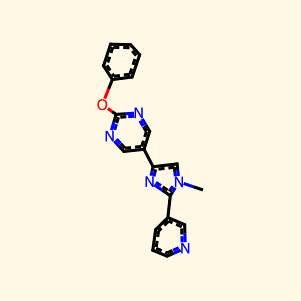 Cn1cc(-c2cnc(Oc3ccccc3)nc2)nc1-c1cccnc1